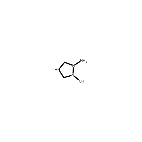 NN1CNCN1O